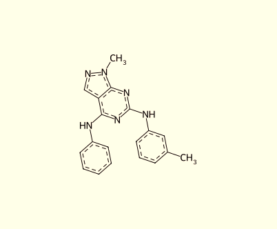 Cc1cccc(Nc2nc(Nc3ccccc3)c3cnn(C)c3n2)c1